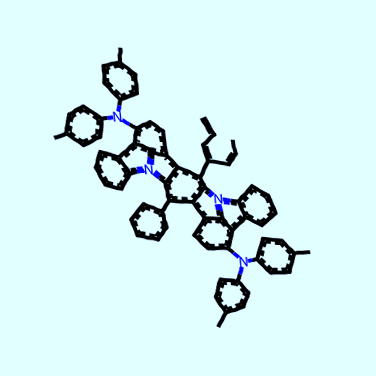 C=C/C=C(\C=C/C)c1c2c3ccc(N(c4ccc(C)cc4)c4ccc(C)cc4)c4c5ccccc5n(c2c(-c2ccccc2)c2c5ccc(N(c6ccc(C)cc6)c6ccc(C)cc6)c6c7ccccc7n(c12)c56)c34